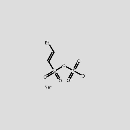 CCC=CS(=O)(=O)OS(=O)(=O)[O-].[Na+]